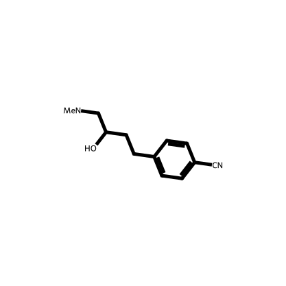 CNCC(O)CCc1ccc(C#N)cc1